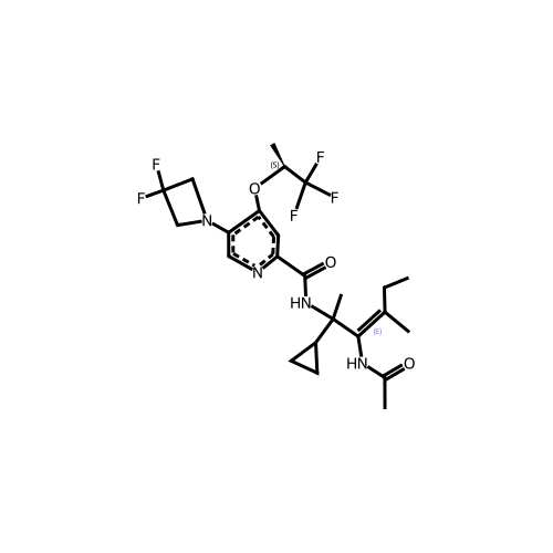 CC/C(C)=C(/NC(C)=O)C(C)(NC(=O)c1cc(O[C@@H](C)C(F)(F)F)c(N2CC(F)(F)C2)cn1)C1CC1